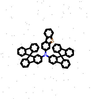 c1ccc2c(c1)-c1ccccc1C21c2ccccc2-c2ccc(N(c3ccc4c(c3)C3(c5ccccc5-c5ccccc53)c3ccccc3-4)c3ccc4c(c3)sc3ccccc34)cc21